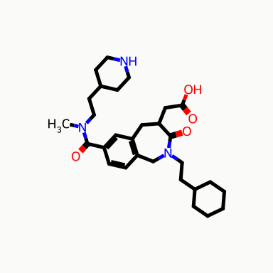 CN(CCC1CCNCC1)C(=O)c1ccc2c(c1)CC(CC(=O)O)C(=O)N(CCC1CCCCC1)C2